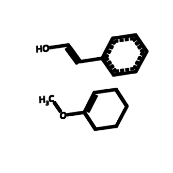 COC1=CCCCC1.OC=Cc1ccccc1